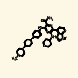 CN1CCN(C2CCN(c3ccc(Nc4nc(NC5CCOCC5)c(-c5ccnc6[nH]cnc56)nc4C(N)=O)cc3)CC2)CC1